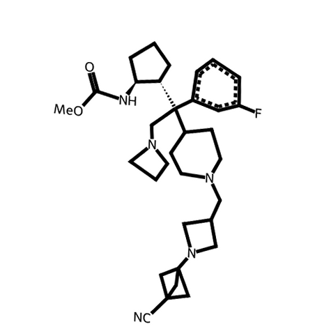 COC(=O)N[C@H]1CCC[C@@H]1C(CN1CCC1)(c1cccc(F)c1)C1CCN(CC2CN(C34CC(C#N)(C3)C4)C2)CC1